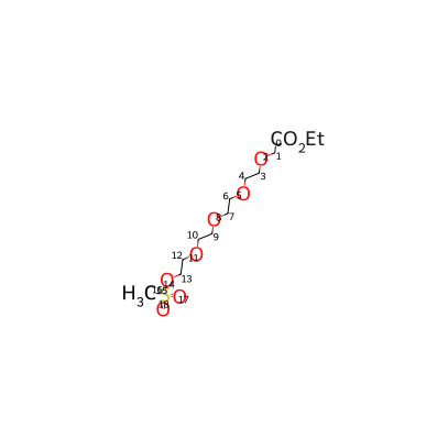 CCOC(=O)COCCOCCOCCOCCOS(C)(=O)=O